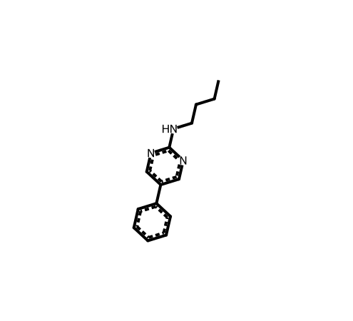 CCCCNc1ncc(-c2ccccc2)cn1